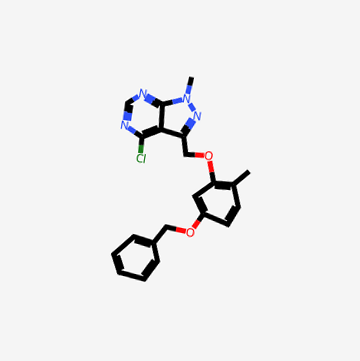 Cc1ccc(OCc2ccccc2)cc1OCc1nn(C)c2ncnc(Cl)c12